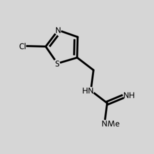 CNC(=N)NCc1cnc(Cl)s1